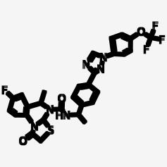 CC(NC(=O)N1C(C)c2cc(F)ccc2N2C(=O)CSC21)c1ccc(-c2ncn(-c3ccc(OC(F)(F)F)cc3)n2)cc1